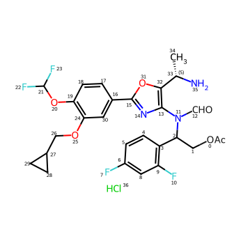 CC(=O)OCC(c1ccc(F)cc1F)N(C=O)c1nc(-c2ccc(OC(F)F)c(OCC3CC3)c2)oc1[C@H](C)N.Cl